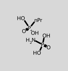 CCCP(=O)(O)O.NP(=O)(O)O